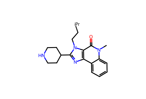 CC(C)CCn1c(C2CCNCC2)nc2c3ccccc3n(C)c(=O)c21